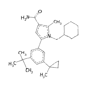 Cc1c(C(N)=O)cc(-c2cc(C(C)(C)C)cc(C3(C)CC3)c2)n1CC1CCCCC1